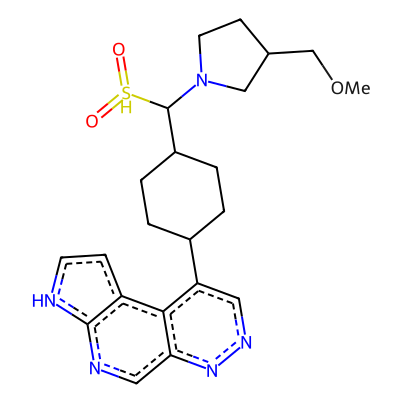 COCC1CCN(C(C2CCC(c3cnnc4cnc5[nH]ccc5c34)CC2)[SH](=O)=O)C1